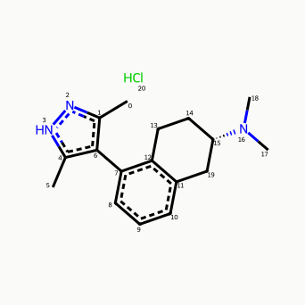 Cc1n[nH]c(C)c1-c1cccc2c1CC[C@H](N(C)C)C2.Cl